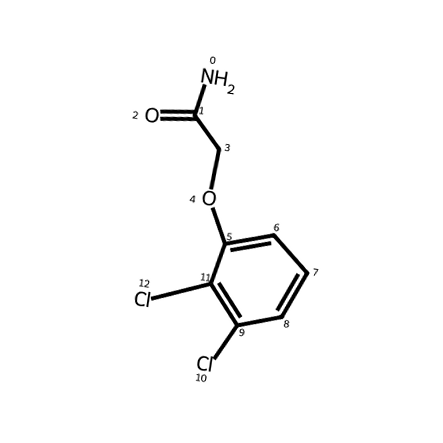 NC(=O)COc1cccc(Cl)c1Cl